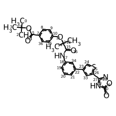 CC(C)(C)OC(=O)c1ccc(OC(C)(C)C(=O)Nc2cccc(-c3csc(-c4noc(=O)[nH]4)c3)c2)cc1